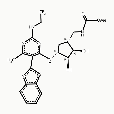 COC(=O)NC[C@H]1C[C@@H](Nc2nc(NCC(F)(F)F)nc(C)c2-c2nc3ccccc3s2)[C@H](O)[C@@H]1O